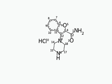 Cl.NC(=O)c1oc2ccccc2c1N1CCNCC1